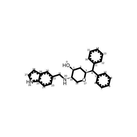 O[C@H]1C[C@@H](C(c2ccccc2)c2ccccc2)OC[C@@H]1NCc1ccc2[nH]ccc2c1